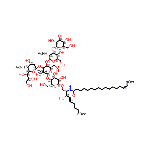 CCCCCCCC/C=C\CCCCCCCCCCCCCC(=O)N[C@@H](CO[C@@H]1O[C@H](CO)[C@@H](O[C@@H]2O[C@H](CO)[C@H](O[C@@H]3O[C@H](CO)[C@H](O)[C@H](O[C@@H]4O[C@H](CO)[C@H](O)[C@H](O)[C@H]4O)[C@H]3NC(C)=O)[C@H](O[C@]3(C(=O)O)C[C@H](O)[C@@H](NC(C)=O)[C@H]([C@H](O)[C@H](O)CO)O3)[C@H]2O)[C@H](O)[C@H]1O)[C@H](O)/C=C/CCCCCCCCCCCCC